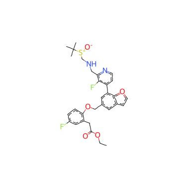 CCOC(=O)Cc1cc(F)ccc1OCc1cc(-c2ccnc(CNC[S+]([O-])C(C)(C)C)c2F)c2occc2c1